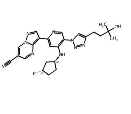 CC(C)(O)CCc1cn(-c2cnc(-c3cnn4cc(C#N)cnc34)cc2N[C@H]2CC[C@H](F)C2)nn1